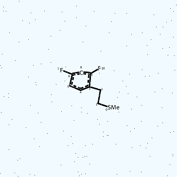 CSCCc1ccc(F)cc1F